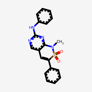 CN1c2nc(Nc3ccccc3)ncc2C=C(c2ccccc2)S1(=O)=O